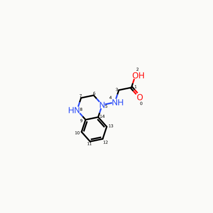 O=C(O)CNN1CCNc2ccccc21